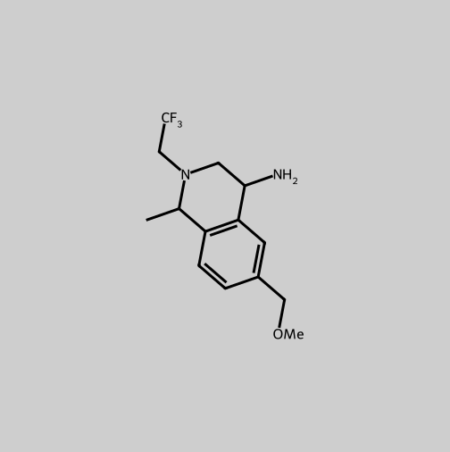 COCc1ccc2c(c1)C(N)CN(CC(F)(F)F)C2C